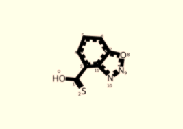 OC(=S)c1cccc2onnc12